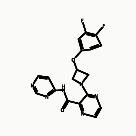 O=C(Nc1ccncn1)c1nccnc1N1CC(Oc2ccc(F)c(F)c2)C1